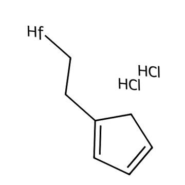 Cl.Cl.[Hf][CH2]CC1=CC=CC1